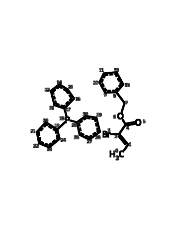 C/C=C(\Br)C(=O)OCc1ccccc1.c1ccc(P(c2ccccc2)c2ccccc2)cc1